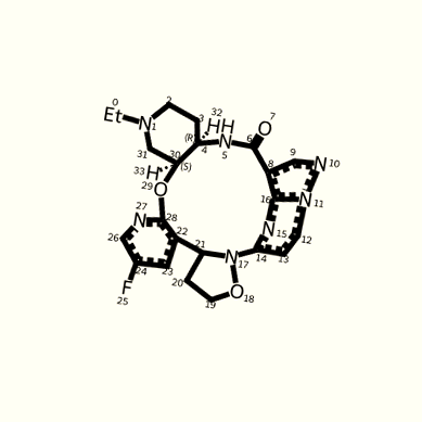 CCN1CC[C@H]2NC(=O)c3cnn4ccc(nc34)N3OCCC3c3cc(F)cnc3O[C@H]2C1